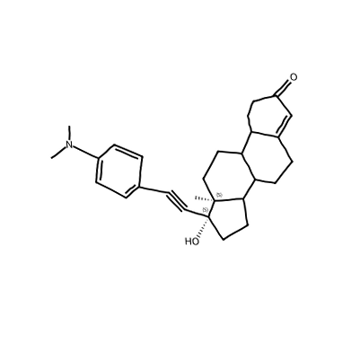 CN(C)c1ccc(C#C[C@]2(O)CCC3C4CCC5=CC(=O)CCC5C4CC[C@@]32C)cc1